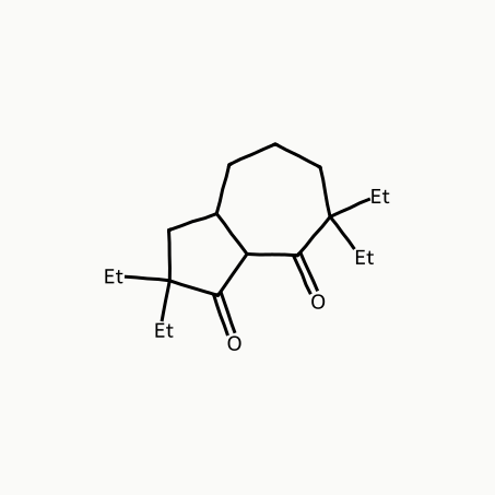 CCC1(CC)CCCC2CC(CC)(CC)C(=O)C2C1=O